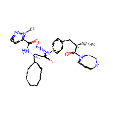 CCn1nccc1C(=O)N[C@H](C(=O)Nc1ccc(C[C@@H](NC(C)=O)C(=O)N2CCNCC2)cc1)C1CCCCCC1